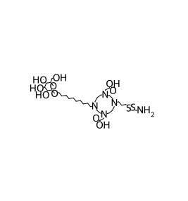 NCSSCCCN1CCCN(CC(=O)O)CCN(CCCCCCCCCCO[C@@H]2OC(CO)[C@@H](O)[C@H](O)C2O)CCCN(CC(=O)O)CC1